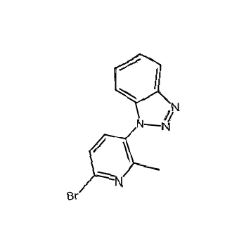 Cc1nc(Br)ccc1-n1nnc2ccccc21